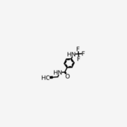 C#CCNC(=O)c1ccc(NC(F)(F)F)cc1